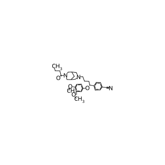 CCCC(=O)N1CC2CC(CN(CCCC(Oc3ccc(OC)c(OC)c3)c3ccc(C#N)cc3)C2)C1